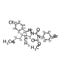 COC(=O)N(C(=O)N1CC(C)(CCCSC)C(c2ccc(Cl)cc2)=N1)c1ccc(Br)cc1